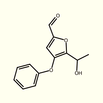 CC(O)c1oc(C=O)cc1Oc1ccccc1